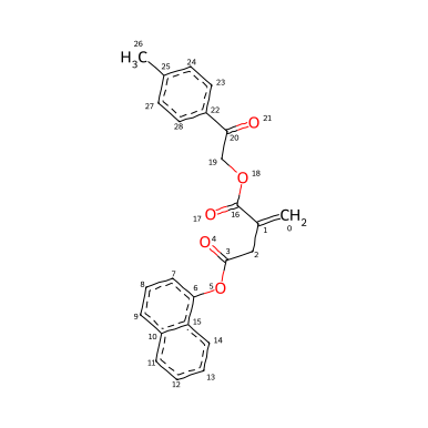 C=C(CC(=O)Oc1cccc2ccccc12)C(=O)OCC(=O)c1ccc(C)cc1